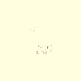 CC(C)(C)c1ccc(C(=O)CCCCCC(=O)N[C@H](CN2CCCC2)[C@@H](O)c2ccc3c(c2)OCCO3)cc1